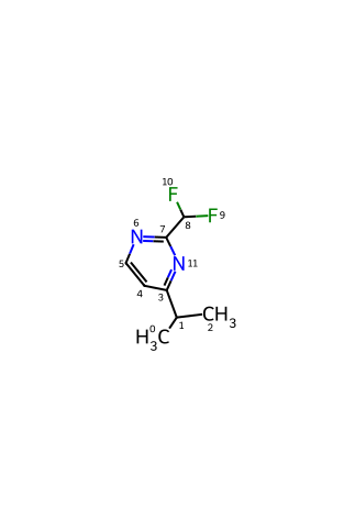 CC(C)c1ccnc(C(F)F)n1